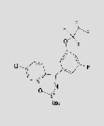 CC(C)(C)[S+]([O-])N=C(c1cc(F)cc(OC(F)(F)C(F)F)c1)c1ccc(Cl)cn1